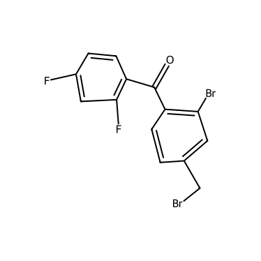 O=C(c1ccc(F)cc1F)c1ccc(CBr)cc1Br